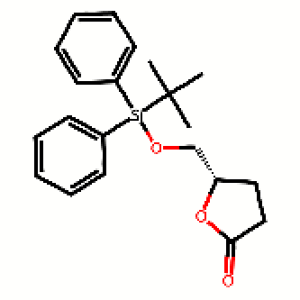 CC(C)(C)[Si](OC[C@@H]1CCC(=O)O1)(c1ccccc1)c1ccccc1